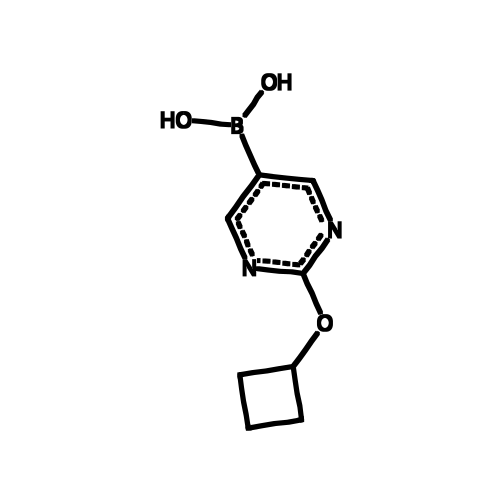 OB(O)c1cnc(OC2CCC2)nc1